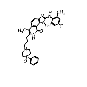 Cc1cc(F)ccc1Nc1nc2ccc3c(C)c(CCCN4CCP(=O)(c5ccccc5)CC4)[nH]c(=O)c3c2n1C